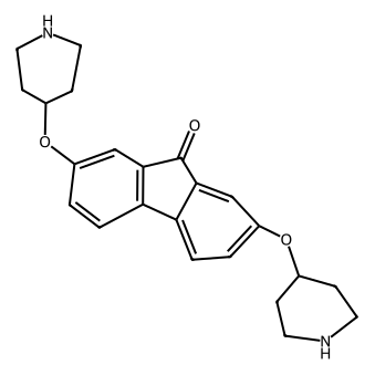 O=C1c2cc(OC3CCNCC3)ccc2-c2ccc(OC3CCNCC3)cc21